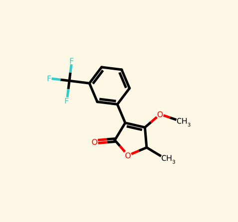 COC1=C(c2cccc(C(F)(F)F)c2)C(=O)OC1C